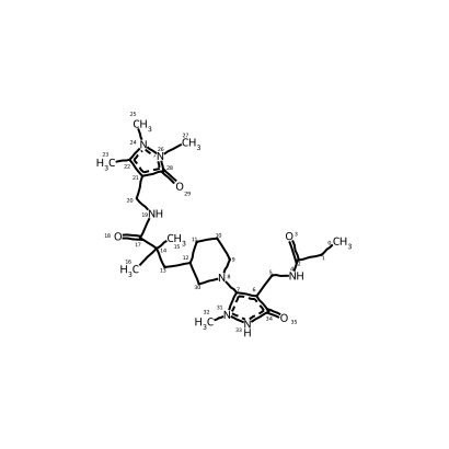 CCC(=O)NCc1c(N2CCCC(CC(C)(C)C(=O)NCc3c(C)n(C)n(C)c3=O)C2)n(C)[nH]c1=O